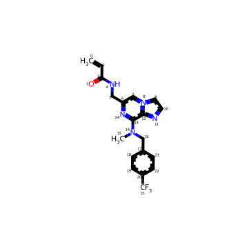 C=CC(=O)NCc1cn2ccnc2c(N(C)Cc2ccc(C(F)(F)F)cc2)n1